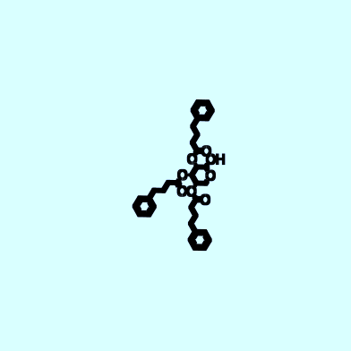 O=C(CCCc1ccccc1)O[C@H]1[C@H](OC(=O)CCCc2ccccc2)COC(O)[C@@H]1OC(=O)CCCc1ccccc1